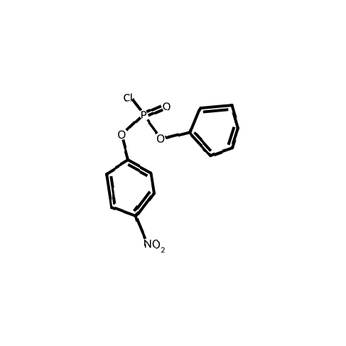 O=[N+]([O-])c1ccc(OP(=O)(Cl)Oc2ccccc2)cc1